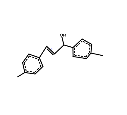 Cc1ccc(/C=C/C(O)c2ccc(C)cc2)cc1